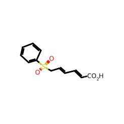 O=C(O)C=CC=CCS(=O)(=O)c1ccccc1